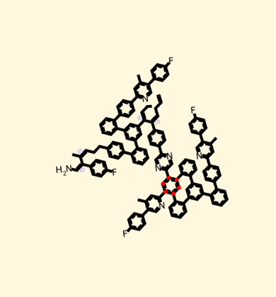 C=CC/C=C(\C(=C/CC)c1cc(-c2ccccc2-c2ccc(CC/C=C(C)\C(=C/N)c3ccc(F)cc3)cc2)cc(-c2ccccc2-c2ccc(-c3cc(C)c(-c4ccc(F)cc4)cn3)cc2)c1)c1ccc(-c2cnc(-c3ccc(-c4ccccc4-c4cc(-c5ccccc5-c5ccc(-c6cc(C)c(-c7ccc(F)cc7)cn6)cc5)cc(-c5ccccc5-c5ccc(-c6cc(C)c(-c7ccc(F)cc7)cn6)cc5)c4)cc3)cn2)cc1